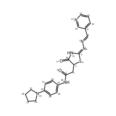 O=C(CC1S/C(=N/N=C/c2cccnc2)NC1=O)Nc1ccc(N2CCCC2)cc1